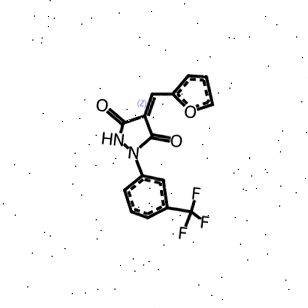 O=C1NN(c2cccc(C(F)(F)F)c2)C(=O)/C1=C\c1ccco1